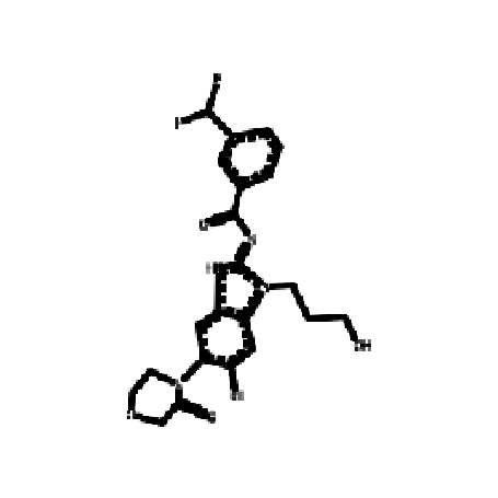 O=C(/N=c1\[nH]c2cc(N3CCOCC3=O)c(Cl)cc2n1CCCO)c1cccc(C(F)F)c1